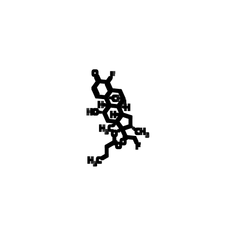 CCCC(=O)O[C@@]1(C(=O)CF)[C@@H](C)C[C@H]2[C@@H]3CCC4=C(F)C(=O)C=C[C@]4(C)[C@H]3[C@@H](O)C[C@@]21C